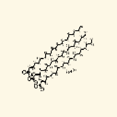 CCCCCCCCCCCCCCCCCC=CC(=O)[O-].CCCCCCCCCCCCCCCCCC=CC(=O)[O-].CCCCCCCCCCCCCCCCCC=CC(=O)[O-].[La+3]